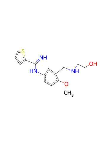 COc1ccc(NC(=N)c2cccs2)cc1CNCCO